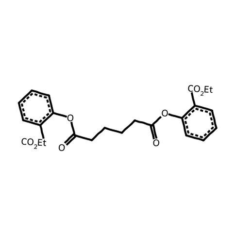 CCOC(=O)c1ccccc1OC(=O)CCCCC(=O)Oc1ccccc1C(=O)OCC